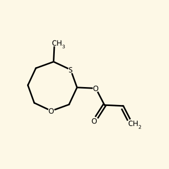 C=CC(=O)OC1COCCCC(C)S1